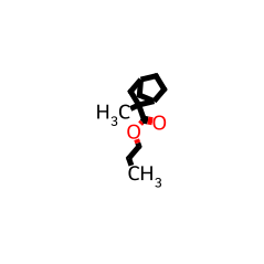 CCCOC(=O)C1(C)CC2CCC1C2